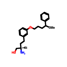 CC[C@](N)(CO)CCc1cccc(OCCCC(OC)c2ccccc2)c1